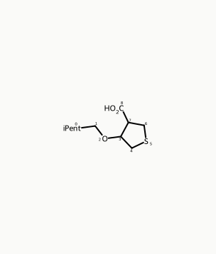 CCCC(C)COC1CSCC1C(=O)O